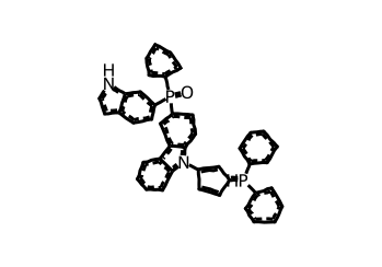 O=P(c1ccccc1)(c1ccc2cc[nH]c2c1)c1ccc2c(c1)c1ccccc1n2C1=CC(=[PH](c2ccccc2)c2ccccc2)C=C1